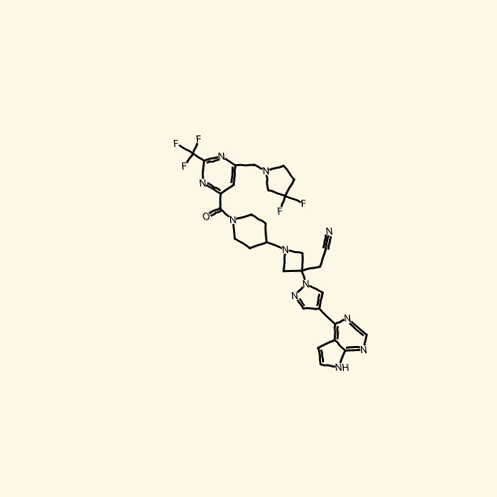 N#CCC1(n2cc(-c3ncnc4[nH]ccc34)cn2)CN(C2CCN(C(=O)c3cc(CN4CCC(F)(F)C4)nc(C(F)(F)F)n3)CC2)C1